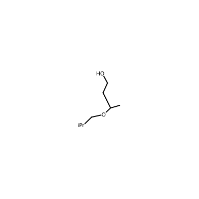 CC(C)COC(C)CCO